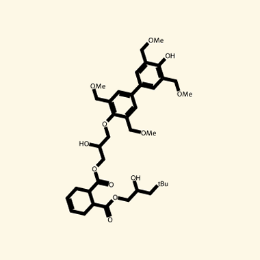 COCc1cc(-c2cc(COC)c(OCC(O)COC(=O)C3CC=CCC3C(=O)OCC(O)CC(C)(C)C)c(COC)c2)cc(COC)c1O